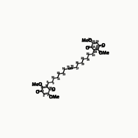 COC1=CC(=O)C(OC)=C(CCCCCCCC#CCCCCCCCC2=C(OC)C(=O)C=C(OC)C2=O)C1=O